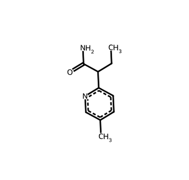 CCC(C(N)=O)c1ccc(C)cn1